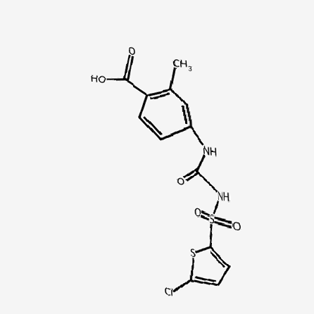 Cc1cc(NC(=O)NS(=O)(=O)c2ccc(Cl)s2)ccc1C(=O)O